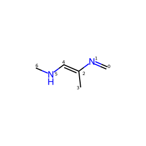 C=N/C(C)=C/NC